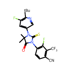 CC(C)(C)c1ncc(N2C(=S)N(c3ccc(C#N)c(C(F)(F)F)c3F)C(=O)C2(C)C)cc1F